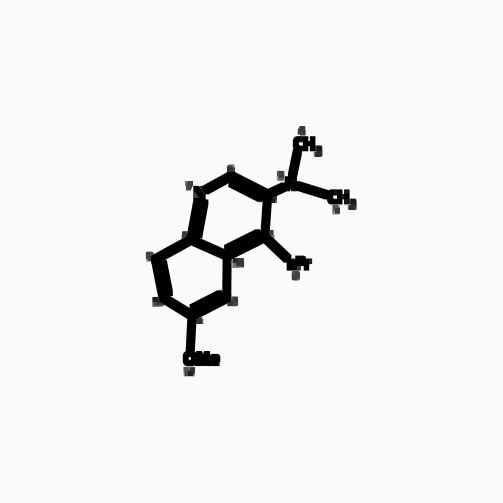 [CH2]CCc1c(N(C)C)cnc2ccc(OC)cc12